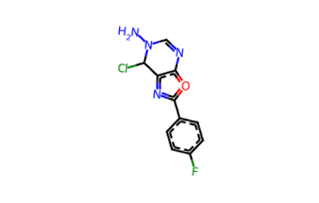 NN1C=Nc2oc(-c3ccc(F)cc3)nc2C1Cl